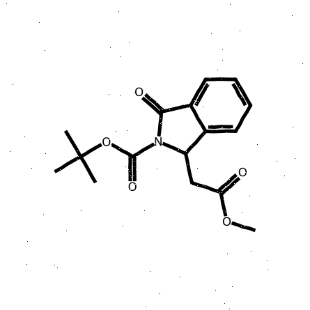 COC(=O)CC1c2ccccc2C(=O)N1C(=O)OC(C)(C)C